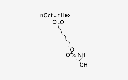 CCCCCCCCC(CCCCCC)OC(=O)CCCCCCCOC(=O)[C@@H]1CC(O)CN1